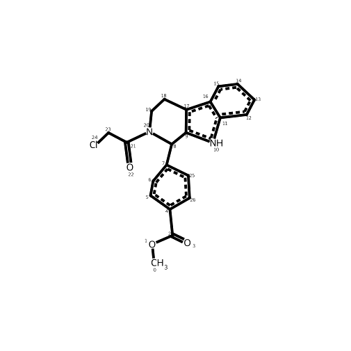 COC(=O)c1ccc(C2c3[nH]c4ccccc4c3CCN2C(=O)CCl)cc1